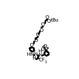 CN(c1cccc(CNc2nc(Nc3ccc(OCCOCCOCCOCCOCCC(=O)OC(C)(C)C)cc3)ncc2C(F)(F)F)c1)S(C)(=O)=O